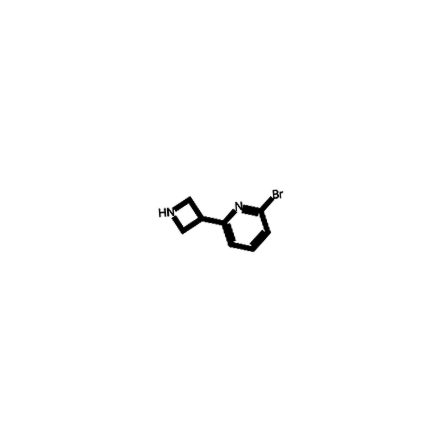 Brc1cccc(C2CNC2)n1